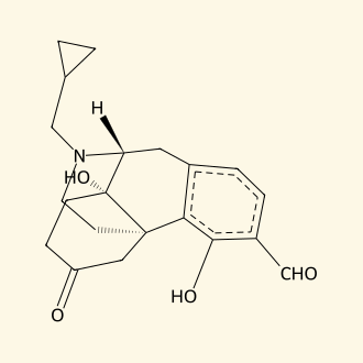 O=Cc1ccc2c(c1O)[C@]13CCN(CC4CC4)[C@H](C2)[C@]1(O)CCC(=O)C3